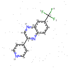 FC(F)(F)c1ccc2nc(-c3ccncc3)cnc2c1